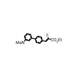 CCOC(=O)/C(F)=C/c1ccc(-c2cccc(NC)c2)cc1